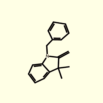 C=C1N(Cc2ccccc2)c2ccccc2C1(C)C